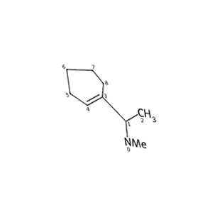 CNC(C)C1=CCCCC1